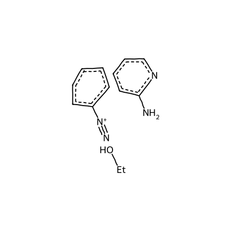 CCO.N#[N+]c1ccccc1.Nc1ccccn1